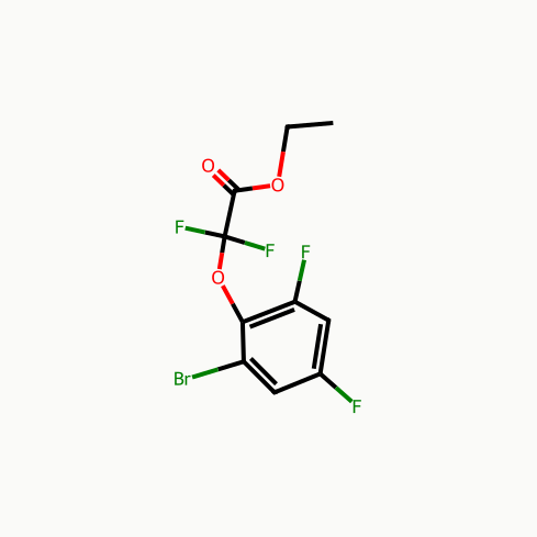 CCOC(=O)C(F)(F)Oc1c(F)cc(F)cc1Br